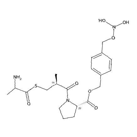 CC(N)C(=O)SC[C@@H](C)C(=O)N1CCC[C@H]1C(=O)OCc1ccc(CON(O)O)cc1